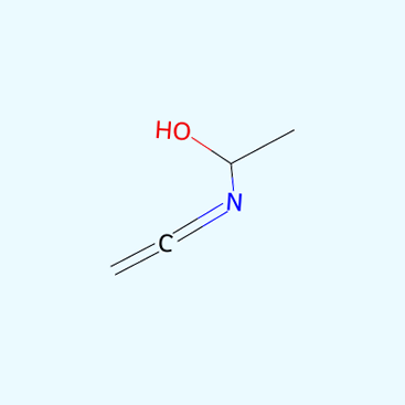 C=C=NC(C)O